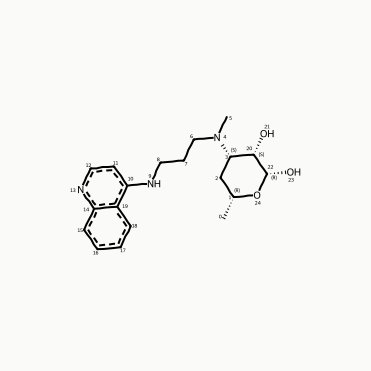 C[C@@H]1C[C@H](N(C)CCCNc2ccnc3ccccc23)[C@H](O)[C@H](O)O1